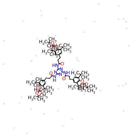 CC(C)(C)OC(=O)Oc1c(C(C)(C)C)cc(CCC(=O)Nc2nc(NC(=O)CCc3cc(C(C)(C)C)c(OC(=O)OC(C)(C)C)c(C(C)(C)C)c3)nc(NC(=O)CCc3cc(C(C)(C)C)c(OC(=O)OC(C)(C)C)c(C(C)(C)C)c3)n2)cc1C(C)(C)C